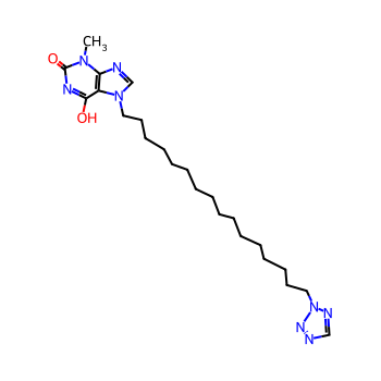 Cn1c(=O)nc(O)c2c1ncn2CCCCCCCCCCCCCCCCn1ncnn1